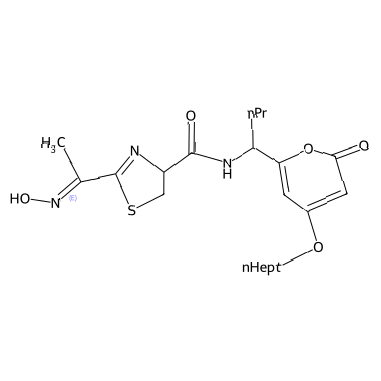 CCCCCCCOc1cc(C(CCC)NC(=O)C2CSC(/C(C)=N/O)=N2)oc(=O)c1